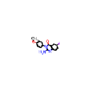 COc1ccc(-n2c(N)nc3ccc(I)cc3c2=O)cc1